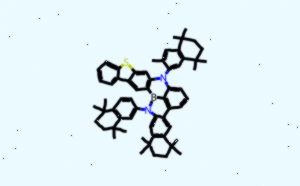 Cc1cc2c(cc1N1c3cc4sc5ccccc5c4cc3B3c4c(cccc41)-c1cc4c(cc1N3c1ccc3c(c1)C(C)(C)CCC3(C)C)C(C)(C)CCC4(C)C)C(C)(C)CCC2(C)C